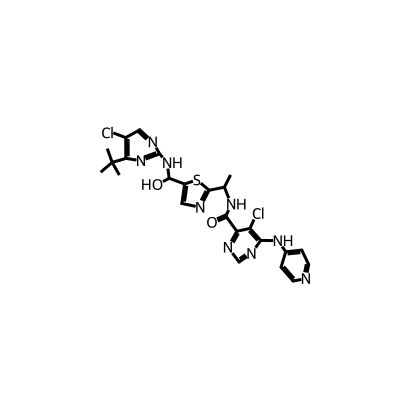 CC(NC(=O)c1ncnc(Nc2ccncc2)c1Cl)c1ncc(C(O)Nc2ncc(Cl)c(C(C)(C)C)n2)s1